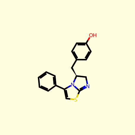 Oc1ccc(C[C@H]2CN=C3SC=C(c4ccccc4)N32)cc1